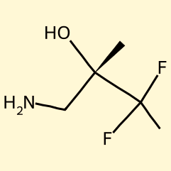 CC(F)(F)[C@@](C)(O)CN